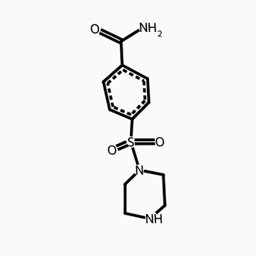 NC(=O)c1ccc(S(=O)(=O)N2CCNCC2)cc1